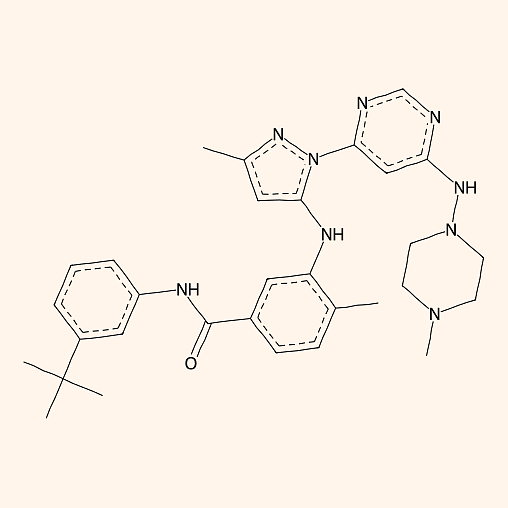 Cc1cc(Nc2cc(C(=O)Nc3cccc(C(C)(C)C)c3)ccc2C)n(-c2cc(NN3CCN(C)CC3)ncn2)n1